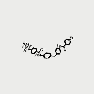 CCc1ccc(C(=O)Nc2ccc(Cc3ccc(NC(=O)c4ccc(C[N+](C)(C)B[N+](C)(C)C)cc4)cc3)cc2)cc1